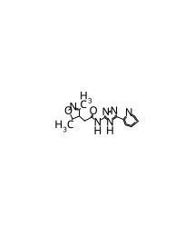 CC1=NOC(C)C1CC(=O)Nc1nnc(-c2ccccn2)[nH]1